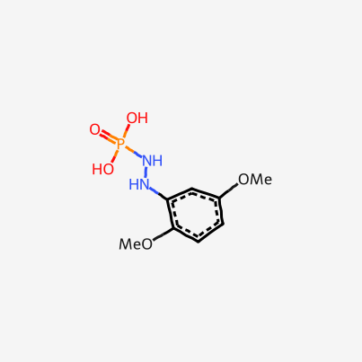 COc1ccc(OC)c(NNP(=O)(O)O)c1